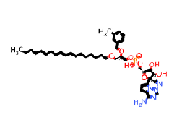 CCCCCCCCCCCCCCCCCCOC[C@H](COP(=O)(O)OC[C@H]1O[C@@](C#N)(c2ccc3c(N)ncnn23)[C@H](O)[C@@H]1O)OCc1cccc(C)c1